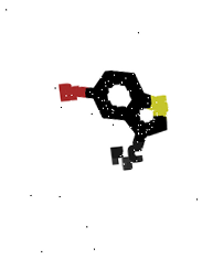 FC(F)(F)c1csc2ccc(Br)cc12